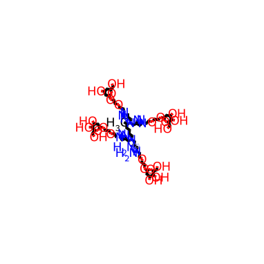 CC(CCCCN(C/C(N)=C/N(N)CCOCCOC1CC(O)C(O)C(CO)O1)Cc1cn(CCOCCOC2CC(O)C(O)C(CO)O2)nn1)N(Cc1cn(CCOCCOC2CC(O)CC(CO)O2)nn1)Cc1cn(CCOCCOC2CC(O)C(O)C(CO)O2)nn1